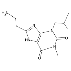 CC(C)Cn1c(=O)n(C)c(=O)c2[nH]c(CCN)nc21